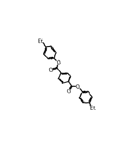 CCc1ccc(OC(=O)c2ccc(C(=O)Oc3ccc(CC)cc3)cc2)cc1